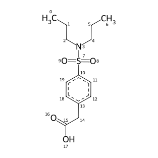 CCCN(CCC)S(=O)(=O)c1ccc(CC(=O)O)cc1